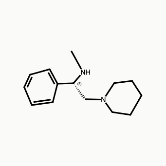 CN[C@H](CN1CCCCC1)c1ccccc1